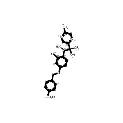 CCOC(=O)c1ccc(COc2ccc([C@@H](C)[C@@](O)(c3cnc(C)cn3)C(F)(F)F)c(Cl)c2)cc1